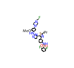 COc1cc(N2CCN(CCF)CC2)ccc1Nc1nccc(-c2sc(C(C)C)nc2-c2cccc(NS(=O)(=O)c3c(F)cccc3F)c2)n1